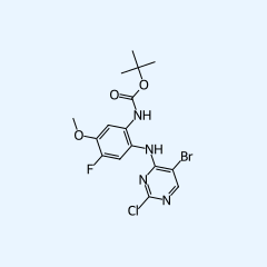 COc1cc(NC(=O)OC(C)(C)C)c(Nc2nc(Cl)ncc2Br)cc1F